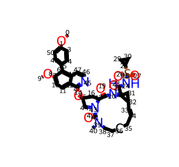 COc1ccc(-c2c(OC)ccc3c(OC4CC5C(=O)NC6(C(=O)NS(=O)(=O)C7CC7)CC6/C=C/CCCCN(C)C(=O)N5C4)nccc23)cc1